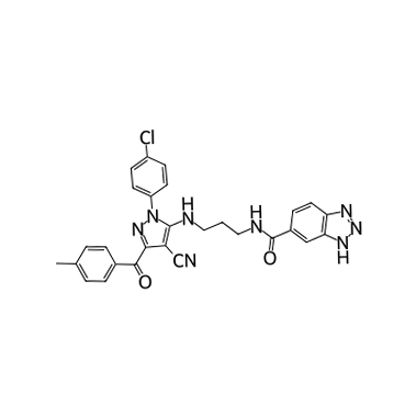 Cc1ccc(C(=O)c2nn(-c3ccc(Cl)cc3)c(NCCCNC(=O)c3ccc4nn[nH]c4c3)c2C#N)cc1